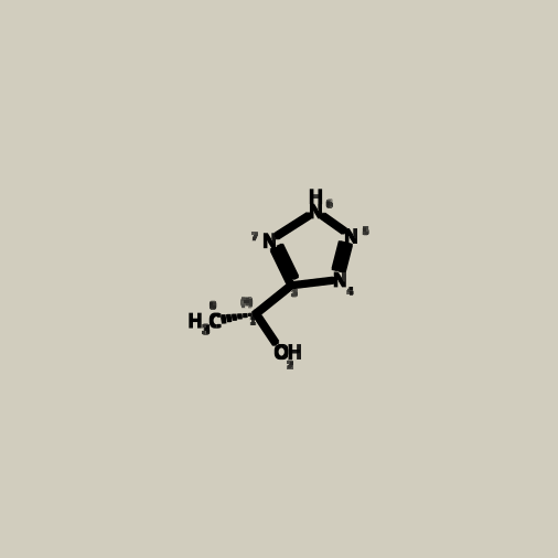 C[C@@H](O)c1nn[nH]n1